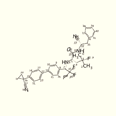 CC(C)(F)C[C@H](N[C@@H](c1ccc(-c2ccc(C3(C#N)CC3)cc2)cc1)C(F)(F)F)C(=O)N[C@H](C#N)Cc1ccccc1